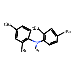 CC(C)N(c1ccc(C(C)(C)C)cc1C(C)(C)C)c1ccc(C(C)(C)C)cc1C(C)(C)C